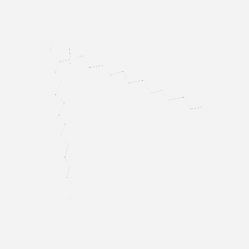 CCCCCCCCCCCCCCC(CC)[N+](C)(C)CCCCCCCCCCCCCC.[Cl-]